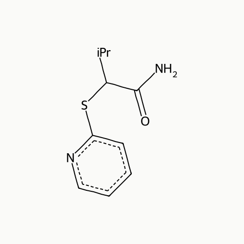 CC(C)C(Sc1ccccn1)C(N)=O